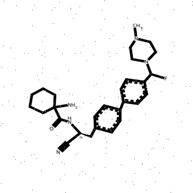 CN1CCN(C(F)c2ccc(-c3ccc(C[C@@H](C#N)NC(=O)C4(N)CCCCC4)cc3)cc2)CC1